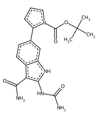 CC(C)(C)OC(=O)n1cccc1-c1ccc2c(C(N)=O)c(NC(N)=O)[nH]c2c1